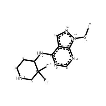 FC1(F)CNCCC1Nc1ncnc2c1cnn2SI